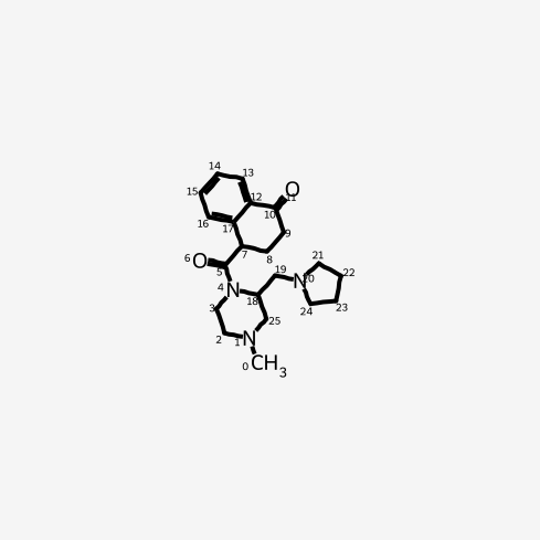 CN1CCN(C(=O)C2CCC(=O)c3ccccc32)C(CN2CCCC2)C1